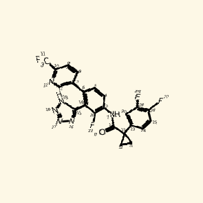 O=C(Nc1ccc(-c2ccc(C(F)(F)F)nc2)c(-c2nnn[nH]2)c1F)C1(c2ccc(F)c(F)c2)CC1